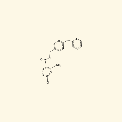 Nc1nc(Cl)ccc1C(=O)NCc1ccc(Cc2ccccc2)cc1